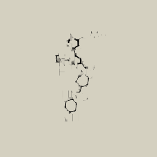 COc1cc(-c2cc(C(=O)N3CCC(C(=O)NC4CCC(C)CC4)CC3)nn2C2NCCO2)ncn1